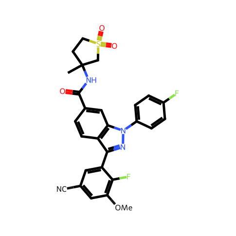 COc1cc(C#N)cc(-c2nn(-c3ccc(F)cc3)c3cc(C(=O)NC4(C)CCS(=O)(=O)C4)ccc23)c1F